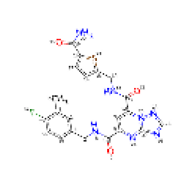 Cc1cc(CNC(=O)c2cc(C(=O)NCc3ccc(C(N)=O)s3)n3ncnc3n2)ccc1F